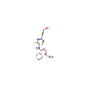 COC(=O)[C@H]1CCCC[C@@H]1C(=O)Nc1ccc(C#CCO)nc1F